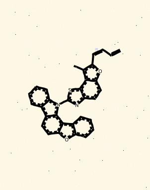 C=C/C=C\c1oc2ccc3nc(-n4c5ccccc5c5ccc6oc7ccccc7c6c54)sc3c2c1C